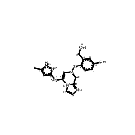 Cc1cc(NC2=CN(Sc3ccc(F)cc3CO)CC3=NC=C[N+]23)n[nH]1